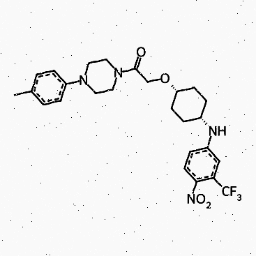 Cc1ccc(N2CCN(C(=O)CO[C@H]3CC[C@@H](Nc4ccc([N+](=O)[O-])c(C(F)(F)F)c4)CC3)CC2)cc1